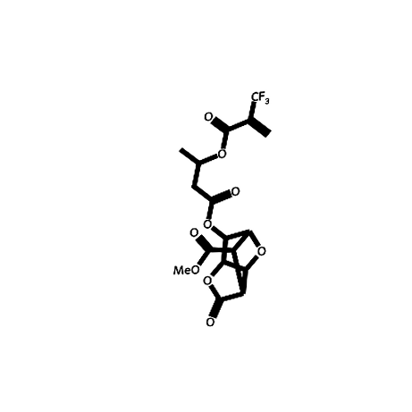 C=C(C(=O)OC(C)CC(=O)OC1C2OC(=O)C3C2OC1C3C(=O)OC)C(F)(F)F